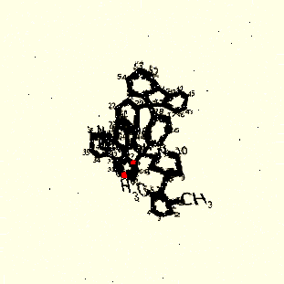 Cc1cccc(C)c1-c1ccnc(C2(c3cccc(C4(c5cccc(C(O)(c6ccccc6-c6ccccc6)n6ccnc6)c5)c5ccccc5-c5ccccc54)c3)c3ccccc3-c3ccccc32)c1